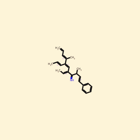 C=C/C=C(C)/C(/C=C/C)=C/C(=C\C)C(=N)C(C)/C=C/c1ccccc1